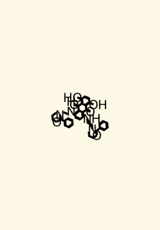 O=C1c2c(O)ccc(O)c2C(=O)c2c(NCCN3CCCOC3c3ccccc3)ccc(NCCN3CCCOC3c3ccccc3)c21